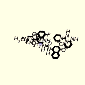 C[C@H]1CCCCN1C(=N)n1cc(O[C@@H]2CC[C@H](NC(=O)N/C(=C/C(=N)C(C)(C)C)Nc3cc(OCCN(C)C)ccc3F)c3ccccc32)ccc1=N